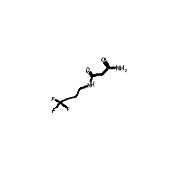 NC(=O)CC(=O)NCCCC(F)(F)F